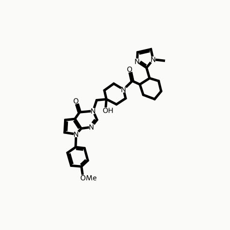 COc1ccc(-n2ccc3c(=O)n(CC4(O)CCN(C(=O)C5CCCCC5c5nccn5C)CC4)cnc32)cc1